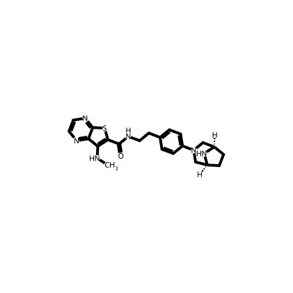 CNc1c(C(=O)NCCc2ccc(N3C[C@H]4CC[C@@H](C3)N4)cc2)sc2nccnc12